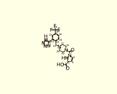 O=C(O)C1C=CN(C(=O)N2CCN(Cc3ccc(C(F)(F)F)cc3-c3nnn[nH]3)CC2)N1